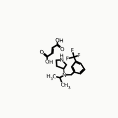 CC(C)N(Cc1cccc(C(F)(F)F)c1)[C@H]1CCNC1.O=C(O)C=CC(=O)O